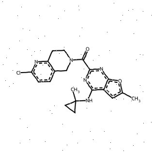 Cc1cc2c(NC3(C)CC3)nc(C(=O)N3CCc4nc(Cl)ccc4C3)nc2o1